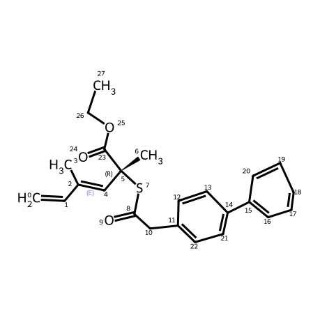 C=C/C(C)=C/[C@@](C)(SC(=O)Cc1ccc(-c2ccccc2)cc1)C(=O)OCC